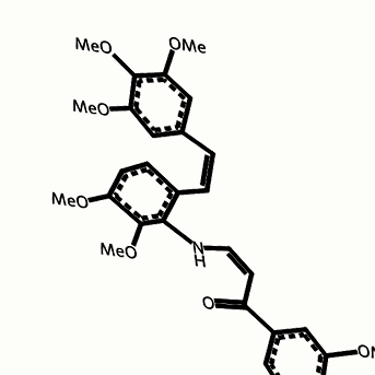 COc1cccc(C(=O)/C=C\Nc2c(/C=C\c3cc(OC)c(OC)c(OC)c3)ccc(OC)c2OC)c1